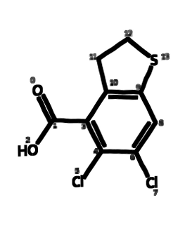 O=C(O)c1c(Cl)c(Cl)cc2c1CCS2